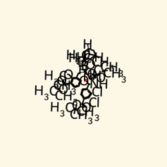 COc1c(C[C@H](NC(=O)C(NC(=O)OC(C)(C)C)c2ccc(C(=O)OC(C)(C)C)c(Cl)c2Cl)B2O[C@@H]3C[C@@H]4C[C@@H](C4(C)C)[C@]3(C)O2)cccc1C(=O)OC(C)(C)C